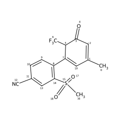 CC1=[C]C(=O)C(C(F)(F)F)C(c2ccc(C#N)cc2S(C)(=O)=O)=C1